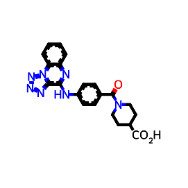 O=C(O)C1CCN(C(=O)c2ccc(Nc3nc4ccccc4n4nnnc34)cc2)CC1